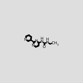 CCNC(=O)Nc1ccnc(-c2cccnc2)n1